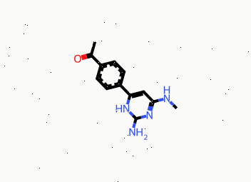 CNC1=NC(N)NC(c2ccc(C(C)=O)cc2)=C1